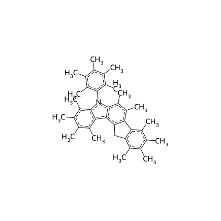 Cc1c(C)c(C)c(-n2c3c(C)c(C)c(C)c(C)c3c3c4c(c(C)c(C)c32)-c2c(C)c(C)c(C)c(C)c2C4)c(C)c1C